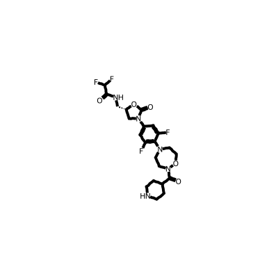 O=C(NC[C@H]1CN(c2cc(F)c(N3CCON(C(=O)C4CCNCC4)CC3)c(F)c2)C(=O)O1)C(F)F